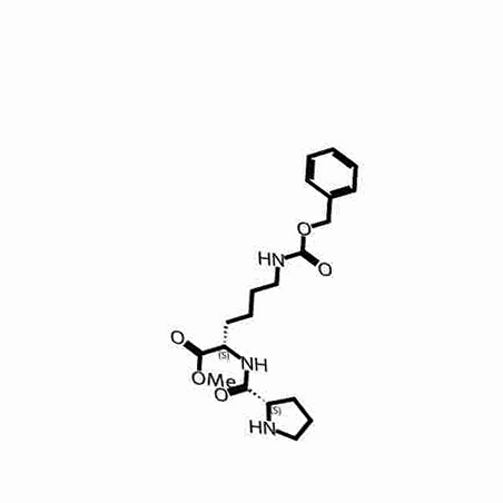 COC(=O)[C@H](CCCCNC(=O)OCc1ccccc1)NC(=O)[C@@H]1CCCN1